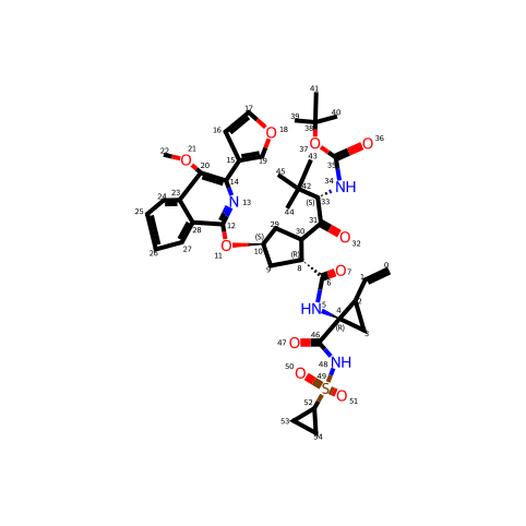 C=CC1C[C@]1(NC(=O)[C@@H]1C[C@@H](Oc2nc(-c3ccoc3)c(OC)c3ccccc23)CC1C(=O)[C@@H](NC(=O)OC(C)(C)C)C(C)(C)C)C(=O)NS(=O)(=O)C1CC1